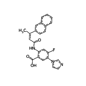 C/C(=C/C(=O)Nc1cc(F)c(-n2ccnc2)cc1C(=O)O)c1ccc2ccccc2c1